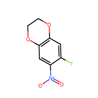 O=[N+]([O-])c1cc2c(cc1F)OCCO2